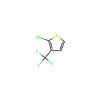 FC(F)(F)c1ccsc1Cl